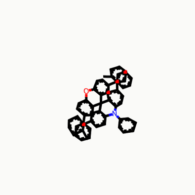 Cc1ccccc1-c1ccc2c(c1)C1(c3cc(-c4ccccc4)ccc3Oc3ccc(-c4ccccc4)cc31)c1cc(-c3ccccc3C)ccc1N2c1ccccc1